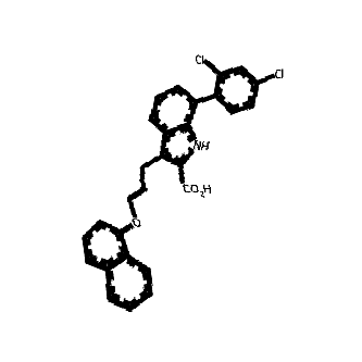 O=C(O)c1[nH]c2c(-c3ccc(Cl)cc3Cl)cccc2c1CCCOc1cccc2ccccc12